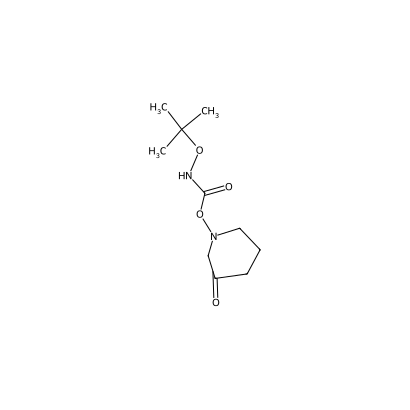 CC(C)(C)ONC(=O)ON1CCCC(=O)C1